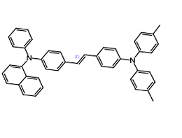 Cc1ccc(N(c2ccc(C)cc2)c2ccc(/C=C/c3ccc(N(c4ccccc4)c4cccc5ccccc45)cc3)cc2)cc1